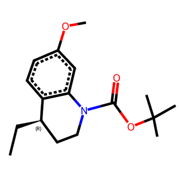 CC[C@@H]1CCN(C(=O)OC(C)(C)C)c2cc(OC)ccc21